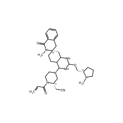 C=CC(=O)N1CCN(C2NC(OC[C@@H]3CCCN3C)NC3C[C@@]4(CCC32)Cc2ccccc2C(=O)N4C)C[C@@H]1CC#N